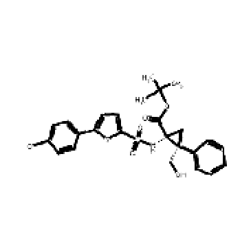 CC(C)(C)OC(=O)[C@@]1(NS(=O)(=O)c2ccc(-c3ccc(Cl)cc3)s2)C[C@@]1(CO)c1ccccc1